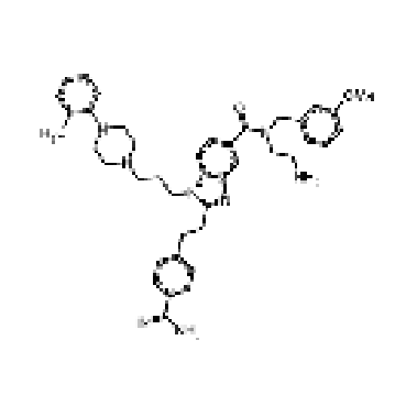 COc1cccc(CN(CCN)C(=O)c2ccc3c(c2)nc(CCc2ccc(C(=N)N)cc2)n3CCCN2CCN(c3ccccc3C)CC2)c1